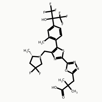 Cc1cc(C(O)(C(F)(F)F)C(F)(F)F)ccc1-c1sc(-c2nnc(CC(C)(C)C(=O)O)o2)nc1CN1CC(F)(F)C[C@@H]1C